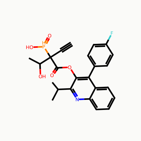 C#CC(C(=O)Oc1c(C(C)C)nc2ccccc2c1-c1ccc(F)cc1)(C(C)O)[PH](=O)O